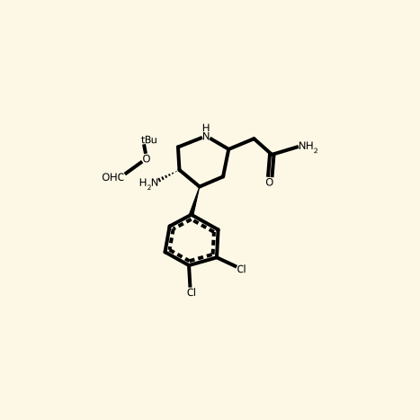 CC(C)(C)OC=O.NC(=O)CC1C[C@@H](c2ccc(Cl)c(Cl)c2)[C@H](N)CN1